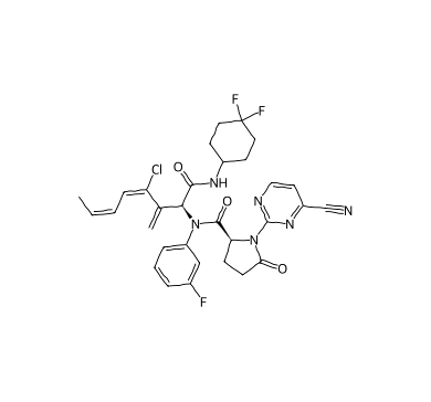 C=C(/C(Cl)=C\C=C/C)[C@@H](C(=O)NC1CCC(F)(F)CC1)N(C(=O)[C@@H]1CCC(=O)N1c1nccc(C#N)n1)c1cccc(F)c1